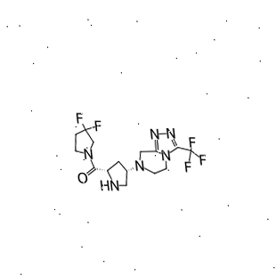 O=C([C@@H]1C[C@H](N2CCn3c(nnc3C(F)(F)F)C2)CN1)N1CCC(F)(F)C1